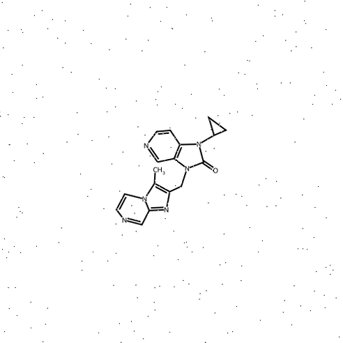 Cc1c(Cn2c(=O)n(C3CC3)c3ccncc32)nc2cnccn12